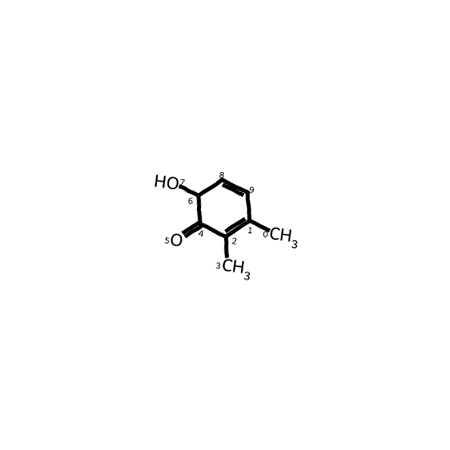 CC1=C(C)C(=O)C(O)C=C1